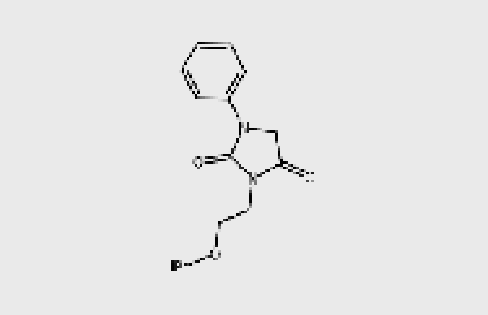 CC(C)OCCN1C(=O)CN(c2ccccc2)C1=O